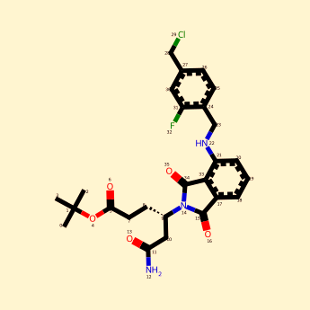 CC(C)(C)OC(=O)CC[C@@H](CC(N)=O)N1C(=O)c2cccc(NCc3ccc(CCl)cc3F)c2C1=O